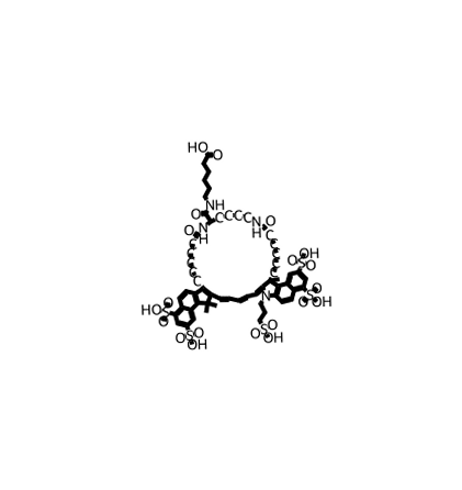 CC1(C)C2=C(CCCCCC(=O)NC(C(=O)NCCCCCC(=O)O)CCCCNC(=O)CCCCCC3(C)/C(=C/C=C/C=C/2)N(CCCS(=O)(=O)O)c2ccc4c(S(=O)(=O)O)cc(S(=O)(=O)O)cc4c23)c2ccc3c(S(=O)(=O)O)cc(S(=O)(=O)O)cc3c21